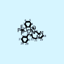 O=S(=O)(c1ccccc1OC(F)(F)F)N1Cc2nccn2CC[C@H]1Cc1ccccc1